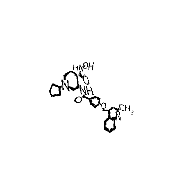 Cc1cc(COc2ccc(C(=O)N[C@@H]3CN(C4CCCC4)CC[C@@H]3C(=O)NO)cc2)c2ccccc2n1